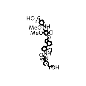 COc1cc(C(=O)O)ccc1NCc1c(OC)cc(OC2CCc3c(-c4cccc(NC(=O)c5nc6c(n5C)CCN(C(C)CO)C6)c4Cl)cccc32)c(Cl)c1F